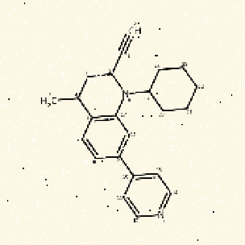 C#CC1CC(C)c2ccc(-c3ccncc3)cc2N1C1CCCCC1